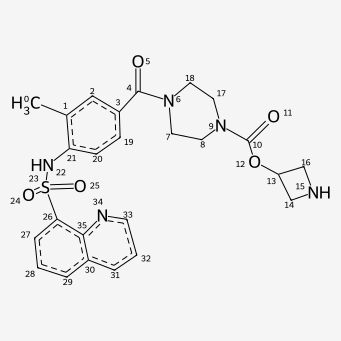 Cc1cc(C(=O)N2CCN(C(=O)OC3CNC3)CC2)ccc1NS(=O)(=O)c1cccc2cccnc12